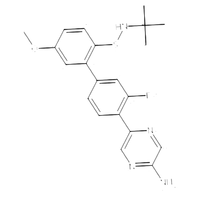 COc1ccc(SNC(C)(C)C)c(-c2ccc(-c3cnc(N)cn3)c(F)c2)c1